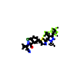 Cn1nc(C(F)(F)C(F)(F)F)c(C(F)(F)F)c1-c1ncc(-c2ccc(Cl)c(C(=O)NC3(C#N)CC3)c2)s1